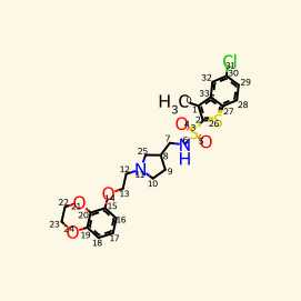 Cc1c(S(=O)(=O)NCC2CCN(CCOc3cccc4c3OCCO4)C2)sc2ccc(Cl)cc12